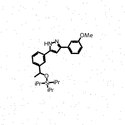 COc1cccc(-c2cc(-c3cccc(C(C)O[Si](C(C)C)(C(C)C)C(C)C)c3)[nH]n2)c1